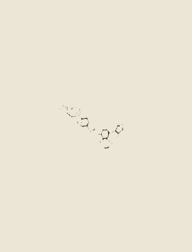 Cc1cscc1-c1ccc(OC(=O)Nc2ccc(N3CCN(C)CC3)nc2)c2nccnc12